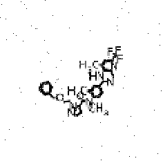 Cc1cc(C2N=Cc3nc(C(F)(F)F)cc(C)c3N2)ccc1N(C)C(=O)c1ccnn1CCOCc1ccccc1